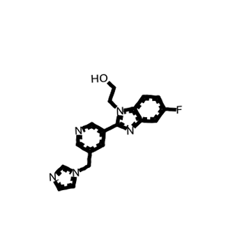 OCCn1c(-c2cncc(Cn3ccnc3)c2)nc2cc(F)ccc21